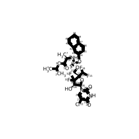 CC(C)OC(=O)[C@H](C)NP(=S)(OC[C@@]1(C(F)F)O[C@@H](n2cc(Cl)c(=O)[nH]c2=O)[C@H](O)C1(F)F)Oc1ccc2ccccc2c1